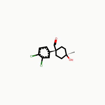 C[C@]1(O)CC[C@@](C=O)(c2ccc(Cl)c(Cl)c2)CC1